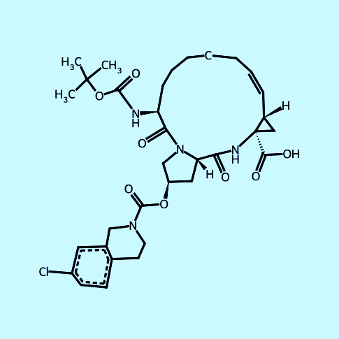 CC(C)(C)OC(=O)N[C@H]1CCCCC/C=C\[C@@H]2C[C@@]2(C(=O)O)NC(=O)[C@@H]2C[C@@H](OC(=O)N3CCc4ccc(Cl)cc4C3)CN2C1=O